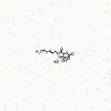 C=CCC=CCOC(=O)C(CC(=O)[O-])S(=O)(=O)O.[Na+]